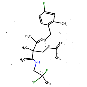 C=C(C)[C@@H](CCc1ccc(F)cc1C)CC(C)(C(=C)C)C(=C)NCC(C)(F)F